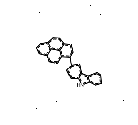 c1cc2ccc3ccc(-c4ccc5[nH]c6ccccc6c5c4)c4ccc(c1)c2c34